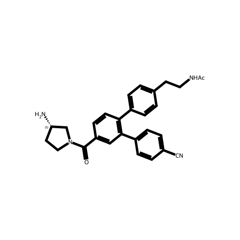 CC(=O)NCCc1ccc(-c2ccc(C(=O)N3CC[C@H](N)C3)cc2-c2ccc(C#N)cc2)cc1